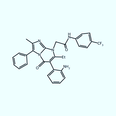 CCc1c(-c2ccccc2N)c(=O)n2c(-c3ccccc3)c(C)nc2n1CC(=O)Nc1ccc(C(F)(F)F)cc1